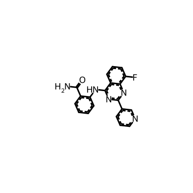 NC(=O)c1ccccc1Nc1nc(-c2cccnc2)nc2c(F)cccc12